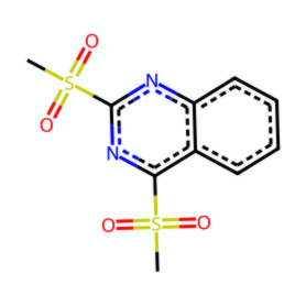 CS(=O)(=O)c1nc(S(C)(=O)=O)c2ccccc2n1